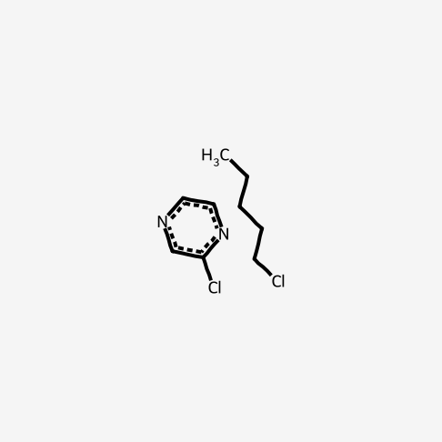 CCCCCCl.Clc1cnccn1